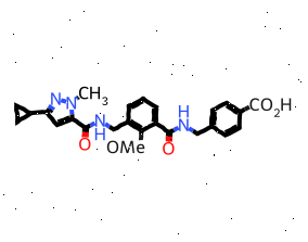 COc1c(CNC(=O)c2cc(C3CC3)nn2C)cccc1C(=O)NCc1ccc(C(=O)O)cc1